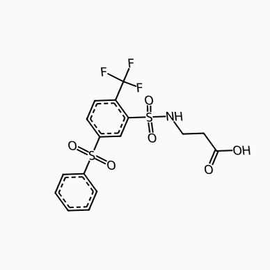 O=C(O)CCNS(=O)(=O)c1cc(S(=O)(=O)c2ccccc2)ccc1C(F)(F)F